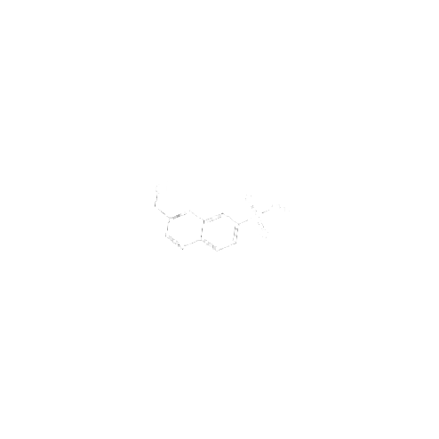 CS(=O)(=O)c1ccc2ncc(CCl)cc2c1